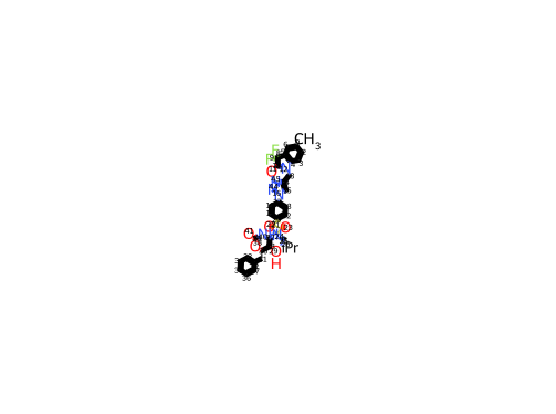 Cc1ccc2c(c1)C(F)(F)C(=O)N2Cc1cn(-c2ccc(S(=O)(=O)N(CC(C)C)C[C@@H](O)[C@H](Cc3ccccc3)OC(N)=O)cc2)nn1